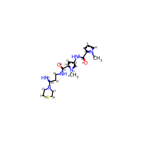 Cn1cc(NC(=O)c2cccn2C)cc1C(=O)NCCC(=N)N1CCSCC1